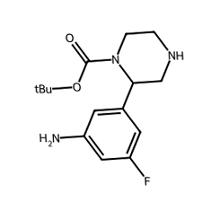 CC(C)(C)OC(=O)N1CCNCC1c1cc(N)cc(F)c1